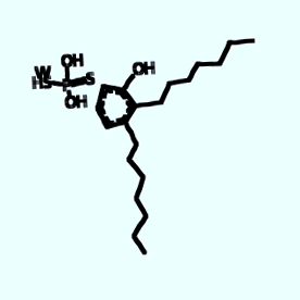 CCCCCCCc1cccc(O)c1CCCCCCC.OP(O)(=S)S.[W]